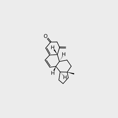 C=C1CC(=O)C=C2C=C[C@@H]3[C@H](CC[C@]4(C)CCC[C@@H]34)[C@@H]12